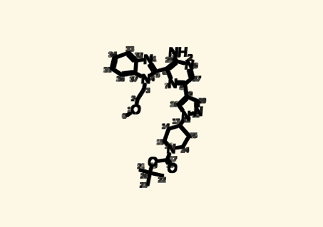 COCCn1c(-c2nc(-c3cnn(C4CCN(C(=O)OC(C)(C)C)CC4)c3)cnc2N)nc2ccccc21